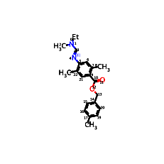 CCN(C)/C=N/c1cc(C)c(C(=O)OCc2ccc(C)cc2)cc1C